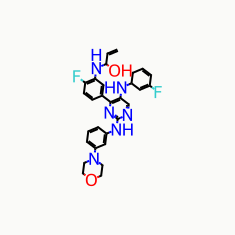 C=CC(O)Nc1cc(-c2nc(Nc3cccc(N4CCOCC4)c3)ncc2NC2C=C(F)C=CC2)ccc1F